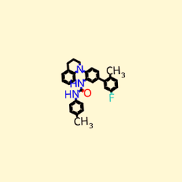 Cc1ccc(NC(=O)Nc2cc(-c3cc(F)ccc3C)ccc2N2CCCc3ccccc32)cc1